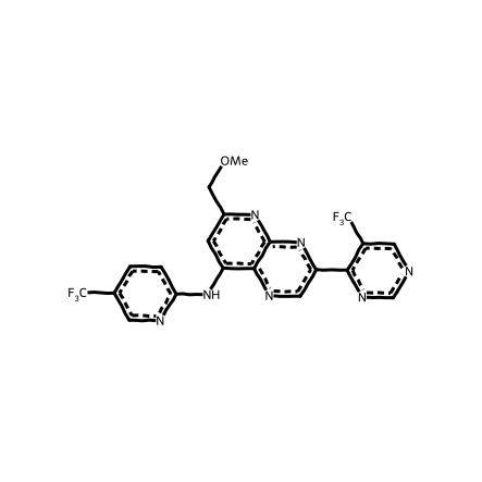 COCc1cc(Nc2ccc(C(F)(F)F)cn2)c2ncc(-c3ncncc3C(F)(F)F)nc2n1